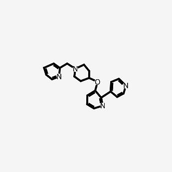 c1ccc(CN2CCC(Oc3cccnc3-c3ccncc3)CC2)nc1